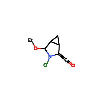 CCOC1C2CC2C(=C=O)N1Cl